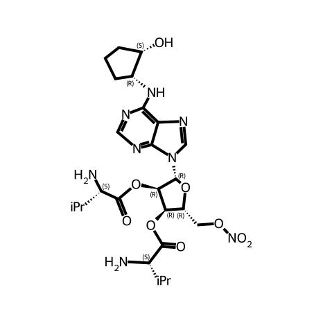 CC(C)[C@H](N)C(=O)O[C@@H]1[C@H](OC(=O)[C@@H](N)C(C)C)[C@@H](CO[N+](=O)[O-])O[C@H]1n1cnc2c(N[C@@H]3CCC[C@@H]3O)ncnc21